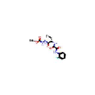 CC(C)C[C@H](NC(=O)C(=O)Nc1ccccc1F)C(=O)NNC(=O)OC(C)(C)C